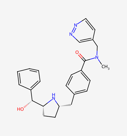 CN(Cc1ccnnc1)C(=O)c1ccc(C[C@@H]2CC[C@H]([C@H](O)c3ccccc3)N2)cc1